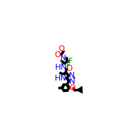 COCC(=O)N1C[C@@H](NC(=O)c2c(C)[nH]c3c(-c4cc(C)ccc4OCC4CC4)ncnc23)C(F)(F)C1